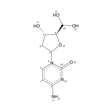 Nc1ccn(C2C[C@H](O)[C@@H](C(O)O)O2)c(=O)n1